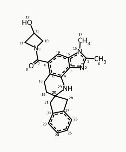 Cc1nc2c3c(c(C(=O)N4CC(O)C4)cc2n1C)CCC1(Cc2ccccc2C1)N3